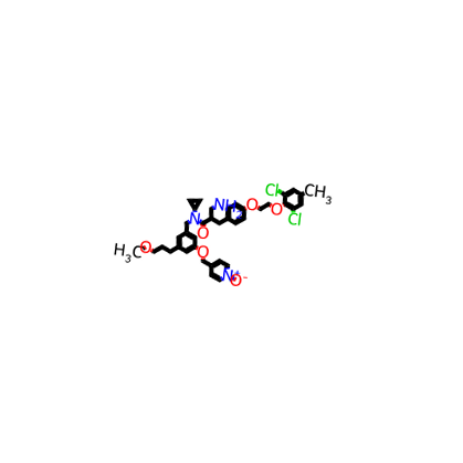 COCCCc1cc(CN(C(=O)C(CN)Cc2ccc(OCCOc3c(Cl)cc(C)cc3Cl)cc2)C2CC2)cc(OCc2cc[n+]([O-])cc2)c1